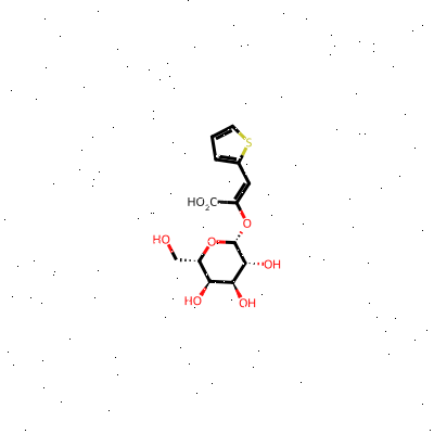 O=C(O)/C(=C\c1cccs1)O[C@H]1O[C@@H](CO)[C@H](O)[C@H](O)[C@H]1O